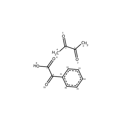 CC(=O)C(C)=O.O=C(O)C(=O)c1ccccc1